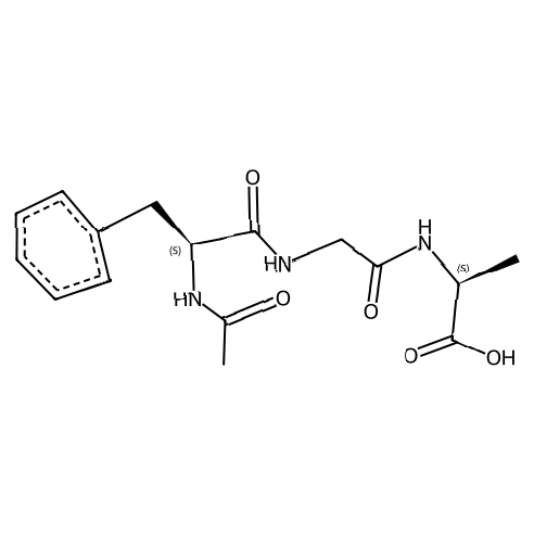 CC(=O)N[C@@H](Cc1ccccc1)C(=O)NCC(=O)N[C@@H](C)C(=O)O